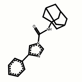 O=C(NC12CC3CC(CC(C3)C1)C2)n1cnc(-c2ccccc2)c1